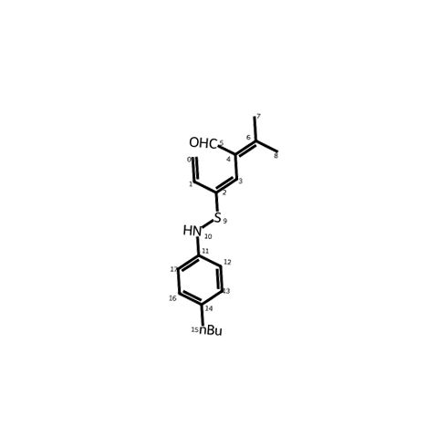 C=C/C(=C\C(C=O)=C(C)C)SNc1ccc(CCCC)cc1